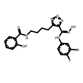 O=C(NCCCCc1nonc1C(=NO)Nc1ccc(F)c(Br)c1)c1ccccc1O